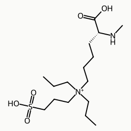 CCC[N+](CCC)(CCCC[C@@H](NC)C(=O)O)CCCS(=O)(=O)O